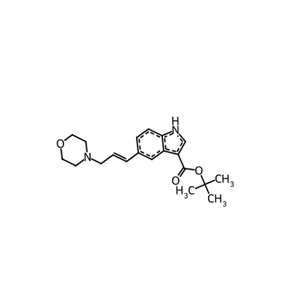 CC(C)(C)OC(=O)c1c[nH]c2ccc(C=CCN3CCOCC3)cc12